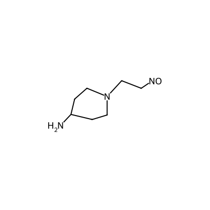 NC1CCN(CCN=O)CC1